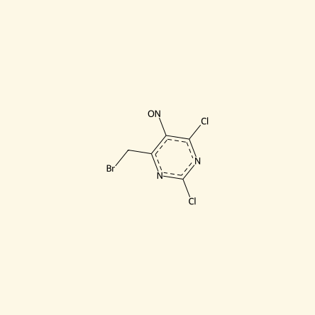 O=Nc1c(Cl)nc(Cl)nc1CBr